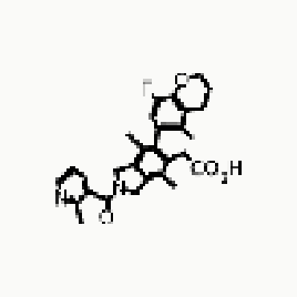 Cc1ncccc1C(=O)N1Cc2c(C)c(CC(=O)O)c(-c3cc(F)c4c(c3C)CCCO4)c(C)c2C1